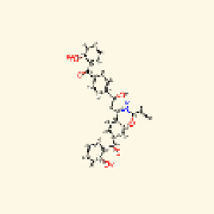 C=CC(=O)NC(CC(=O)c1ccc(C(=O)c2ccccc2O)cc1)c1ccc(C(=O)c2ccccc2O)cc1